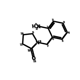 Nc1ccccc1CN1CCCC1=O